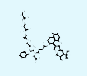 CC[C@@]1(O)C(=O)OCc2c1cc1n(c2=O)Cc2c-1nc1cc(F)c(C)c3c1c2[C@@H](NC(=O)CCCN(CC(N)=O)C(=O)[C@H](Cc1ccccc1)NC(=O)CNC(=O)CNC(=O)CCNC(=O)CBr)CC3